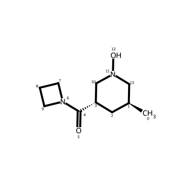 C[C@H]1C[C@H](C(=O)N2CCC2)CN(O)C1